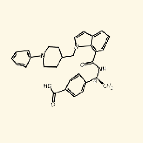 C[C@H](NC(=O)c1cccc2ccn(CC3CCN(c4ccccc4)CC3)c12)c1ccc(C(=O)O)cc1